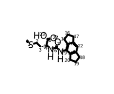 CSCC[C@@H](NC(=O)Nc1c2c(cc3c1CCC3)CCC2)C(=O)O